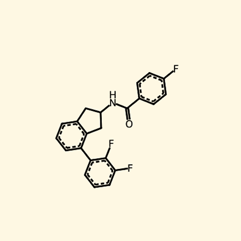 O=C(NC1Cc2cccc(-c3cccc(F)c3F)c2C1)c1ccc(F)cc1